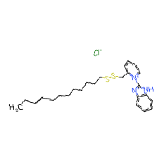 CCCCCCCCCCCCSSCc1cccc[n+]1-c1nc2ccccc2[nH]1.[Cl-]